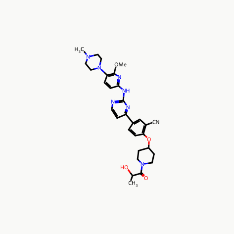 COc1nc(Nc2nccc(-c3ccc(OC4CCN(C(=O)C(C)O)CC4)c(C#N)c3)n2)ccc1N1CCN(C)CC1